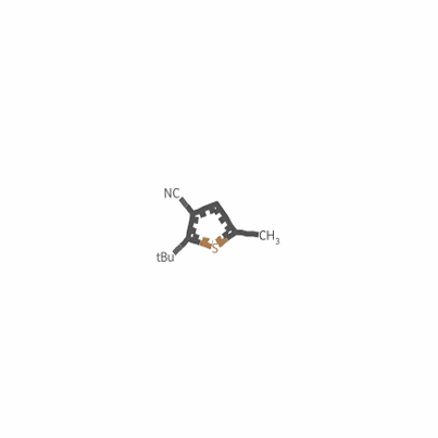 Cc1cc(C#N)c(C(C)(C)C)s1